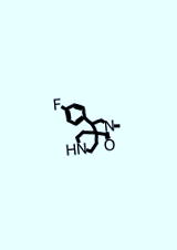 CN1CC(c2ccc(F)cc2)C2(CCNCC2)C1=O